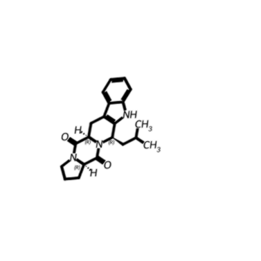 CC(C)C[C@@H]1c2[nH]c3ccccc3c2C[C@@H]2C(=O)N3CCC[C@@H]3C(=O)N21